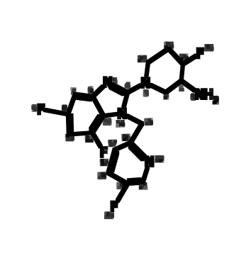 NC1CN(c2nc3cc(F)cc(F)c3n2Cc2ccc(F)cn2)CCC1F